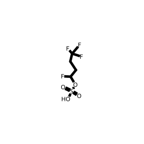 O=S(=O)(O)OC(F)CCC(F)(F)F